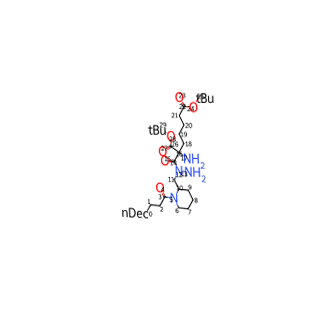 CCCCCCCCCCCCC(=O)N1CCCCC1CN(N)C(=O)C(N)(CCCCC(=O)OC(C)(C)C)C(=O)OC(C)(C)C